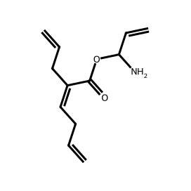 C=CCC=C(CC=C)C(=O)OC(N)C=C